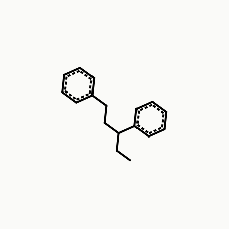 CC[C](CCc1ccccc1)c1ccccc1